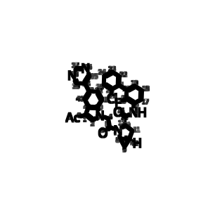 CC(=O)c1cn(CC(=O)N2C3C[C@@H]3C[C@H]2C(=O)Nc2cccc(-c3ccccc3Cl)c2F)c2ccc(-c3cncnc3)cc12